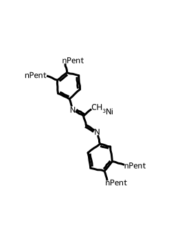 CCCCCc1ccc(/N=C/C(C)=N/c2ccc(CCCCC)c(CCCCC)c2)cc1CCCCC.[Ni]